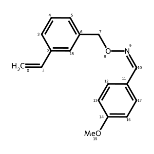 C=Cc1cccc(CO/N=[C]\c2ccc(OC)cc2)c1